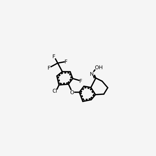 ON=C1CCCc2ccc(Oc3c(F)cc(C(F)(F)F)cc3Cl)cc21